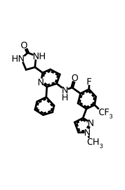 Cn1ccc(-c2cc(C(=O)Nc3ccc(C4CNC(=O)N4)nc3-c3ccccc3)c(F)cc2C(F)(F)F)n1